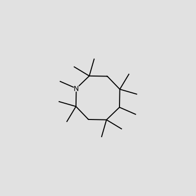 CC1C(C)(C)CC(C)(C)N(C)C(C)(C)CC1(C)C